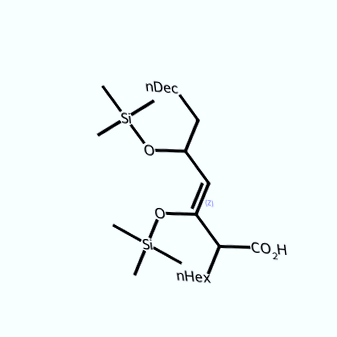 CCCCCCCCCCCC(/C=C(\O[Si](C)(C)C)C(CCCCCC)C(=O)O)O[Si](C)(C)C